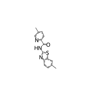 Cc1ccc(C(=O)Nc2nc3ccc(C)cc3s2)nc1